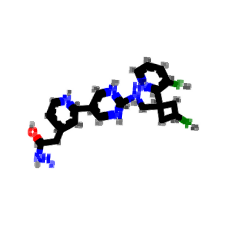 NC(=O)Cc1ccnc(-c2cnc(NCC3(c4ncccc4F)CC(F)C3)nc2)c1